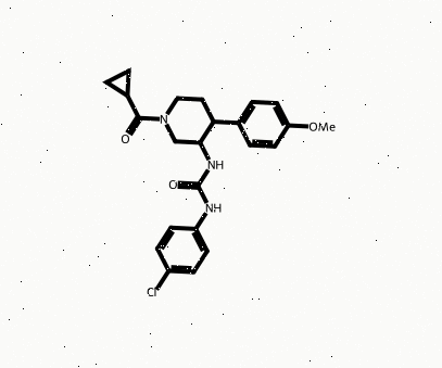 COc1ccc(C2CCN(C(=O)C3CC3)CC2NC(=O)Nc2ccc(Cl)cc2)cc1